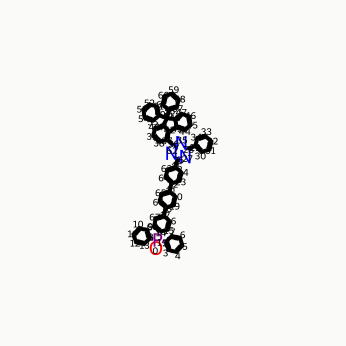 O=P(c1ccccc1)(c1ccccc1)c1ccc(-c2ccc(-c3ccc(-c4nc(-c5ccccc5)nc(-c5cccc6c5-c5ccccc5C6(c5ccccc5)c5ccccc5)n4)cc3)cc2)cc1